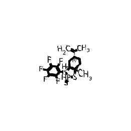 C=C(C)[C@@H]1CC[C@]2(C)S[PH](=S)[SH](c3c(F)c(F)c(F)c(F)c3F)[C@H]2C1